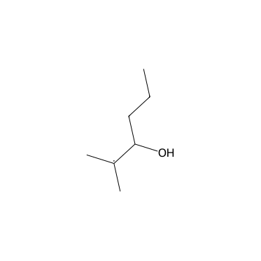 CCCC(O)[C](C)C